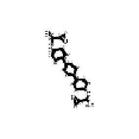 CCC(Oc1ccc(-c2ccc(-c3ccc(OC(CC)C4CO4)cc3)cc2)cc1)C1CO1